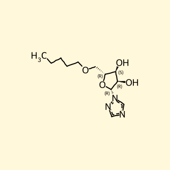 CCCCCOC[C@H]1O[C@@H](n2cncn2)[C@H](O)[C@@H]1O